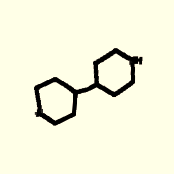 C1CC(C2CCNCC2)CC[N]1